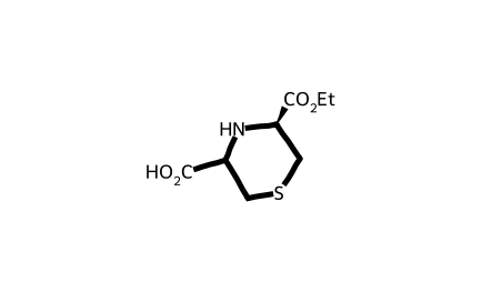 CCOC(=O)[C@H]1CSCC(C(=O)O)N1